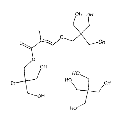 CCC(CO)(CO)COC(=O)C(C)=COCC(CO)(CO)CO.OCC(CO)(CO)CO